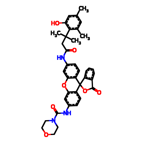 Cc1cc(C)c(C(C)(C)CC(=O)Nc2ccc3c(c2)Oc2cc(NC(=O)N4CCOCC4)ccc2C32OC(=O)c3ccccc32)c(O)c1